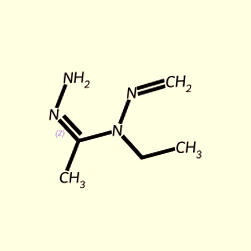 C=NN(CC)/C(C)=N\N